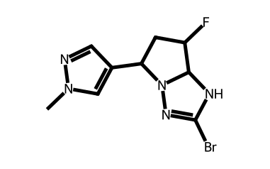 Cn1cc(C2CC(F)C3NC(Br)=NN23)cn1